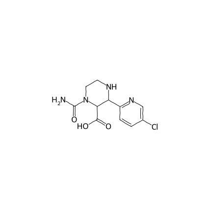 NC(=O)N1CCNC(c2ccc(Cl)cn2)C1C(=O)O